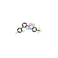 O=C(Nc1ccc(C(F)(F)F)cc1Cl)c1[c]ccc(-c2ccc(F)cc2F)c1